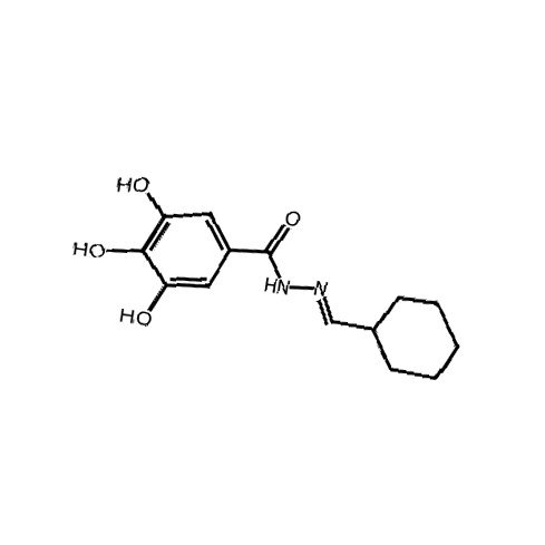 O=C(N/N=C/C1CCCCC1)c1cc(O)c(O)c(O)c1